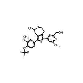 COc1cc(-c2nc(-c3cc(C)nc(CO)c3)c3n2CC(C)OCC3)ccc1OC(F)(F)F